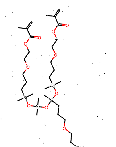 C=C(C)C(=O)OCCOCCC[Si](C)(C)O[Si](C)(C)O[Si](C)(CCCOCCOC)O[Si](C)(C)CCCOCCOC(=O)C(=C)C